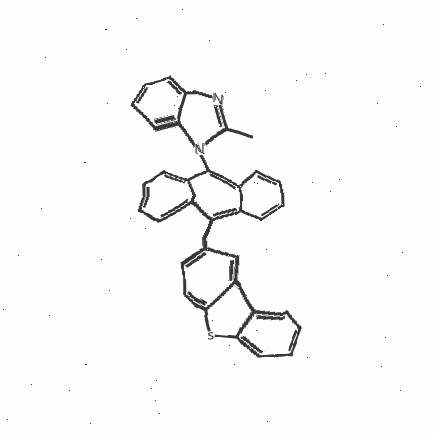 Cc1nc2ccccc2n1-c1c2ccccc2c(-c2ccc3sc4ccccc4c3c2)c2ccccc12